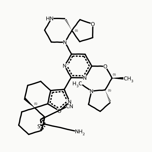 C[C@H](Oc1cc(N2CCNC[C@]23CCOC3)nc(-c2noc3c2CCC[C@@]32CCCc3sc(N)c(C#N)c32)n1)[C@@H]1CCCN1C